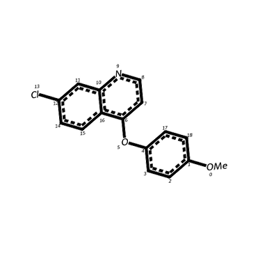 COc1ccc(Oc2ccnc3cc(Cl)ccc23)cc1